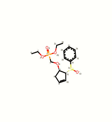 CCOP(=O)(CO[C@@H]1CC=C[C@H]1[S+]([O-])c1ccccc1)OCC